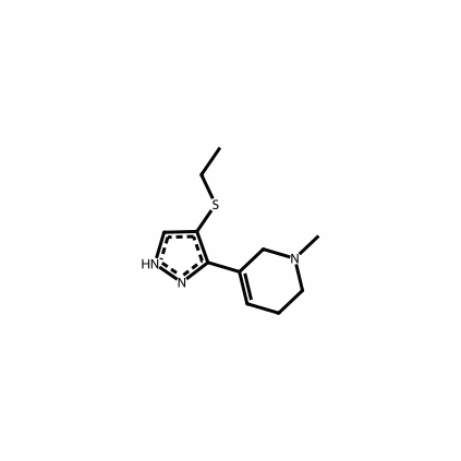 CCSc1c[nH]nc1C1=CCCN(C)C1